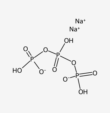 O=P([O-])(O)OP(=O)(O)OP(=O)([O-])O.[Na+].[Na+]